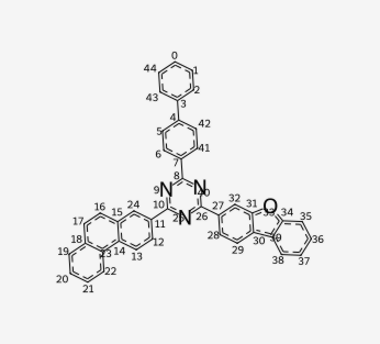 c1ccc(-c2ccc(-c3nc(-c4ccc5c(ccc6ccccc65)c4)nc(-c4ccc5c(c4)oc4ccccc45)n3)cc2)cc1